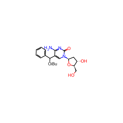 CC(C)COC(c1ccccc1)c1cn([C@H]2C[C@H](O)[C@@H](CO)O2)c(=O)nc1N